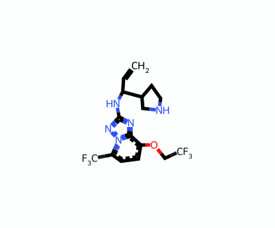 C=CC(Nc1nc2c(OCC(F)(F)F)ccc(C(F)(F)F)n2n1)C1CCNC1